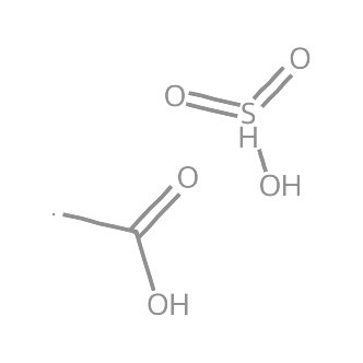 O=[SH](=O)O.[CH2]C(=O)O